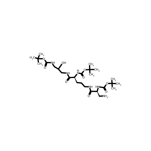 CC(C)(C)OC(=O)NCC(O)CNC(=O)[C@H](CCCNC(=O)[C@H](CN)NC(=O)OC(C)(C)C)NC(=O)OC(C)(C)C